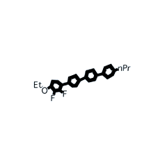 CCCc1ccc(-c2ccc(-c3ccc(-c4ccc(OCC)c(F)c4F)cc3)cc2)cc1